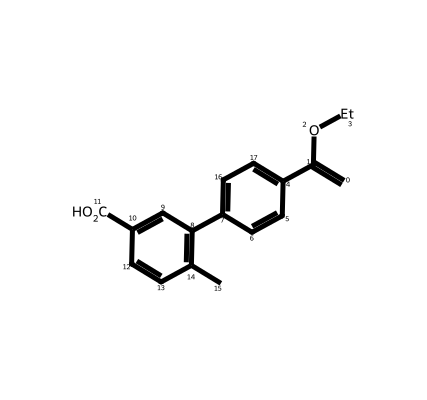 C=C(OCC)c1ccc(-c2cc(C(=O)O)ccc2C)cc1